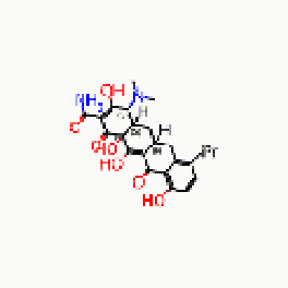 CC(C)c1ccc(O)c2c1C[C@H]1C[C@H]3[C@H](N(C)C)C(O)=C(C(N)=O)C(=O)[C@@]3(O)C(O)=C1C2=O